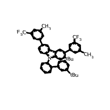 Cc1cc(-c2ccc3c(c2)c2cc(-c4cc(C)cc(C(F)(F)F)c4)ccc2n3-c2ccccc2-c2cc(C(C)(C)C)cc(C(C)(C)C)c2)cc(C(F)(F)F)c1